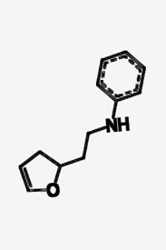 C1=COC(CCNc2ccccc2)C1